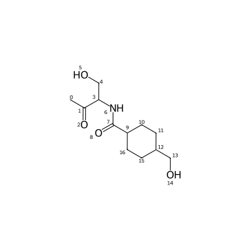 CC(=O)C(CO)NC(=O)C1CCC(CO)CC1